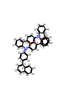 c1ccc(-c2ccc(N(c3ccc(-c4cccc5ccccc45)cc3)c3ccccc3-c3ccc(-n4c5ccccc5c5ccccc54)cc3)cc2)cc1